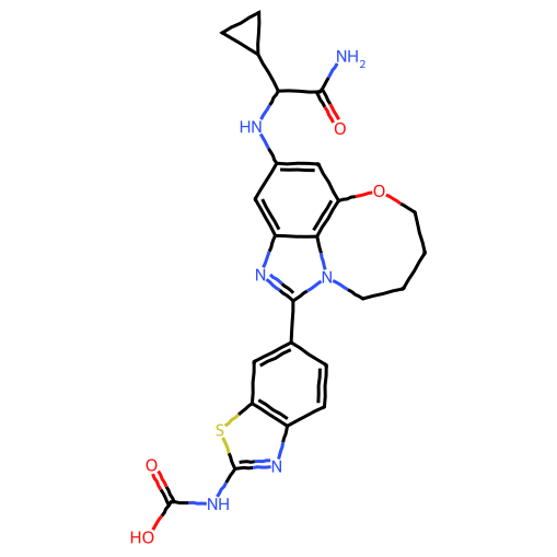 NC(=O)C(Nc1cc2c3c(c1)nc(-c1ccc4nc(NC(=O)O)sc4c1)n3CCCCO2)C1CC1